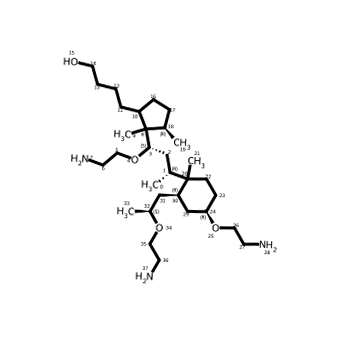 C[C@H](C[C@H](OCCN)C1(C)C(CCCCO)CC[C@H]1C)C1(C)CC[C@@H](OCCN)C[C@H]1C[C@H](C)OCCN